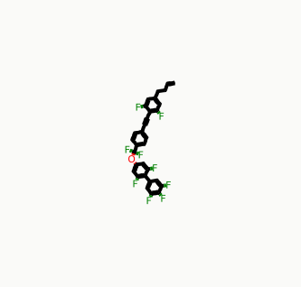 C=CCCc1cc(F)c(C#Cc2ccc(C(F)(F)Oc3cc(F)c(-c4cc(F)c(F)c(F)c4)c(F)c3)cc2)c(F)c1